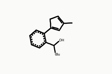 CC1=CCC(c2ccccc2C(O)C(C)(C)C)=C1